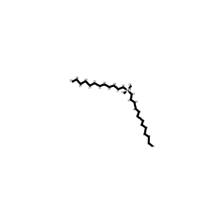 CCCCCCCCCCCCC[N+](C)(C)CCCCCCCCCCCC